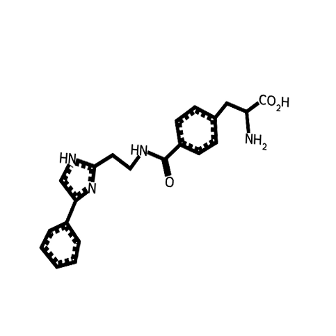 NC(Cc1ccc(C(=O)NCCc2nc(-c3ccccc3)c[nH]2)cc1)C(=O)O